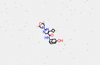 C[C@@H]1CN(c2ncc(C(=O)NC3C4CC5CC3CC(O)(C5)C4)c(C3CCC3)n2)C[C@H](C)O1